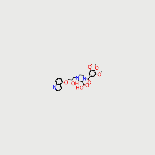 COc1cc(C(=O)N2CCN(C[C@@H](O)COc3cccc4ncccc34)CC2C(=O)O)cc(OC)c1OC